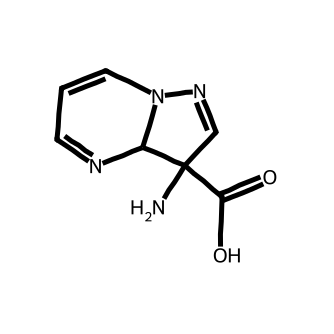 NC1(C(=O)O)C=NN2C=CC=NC21